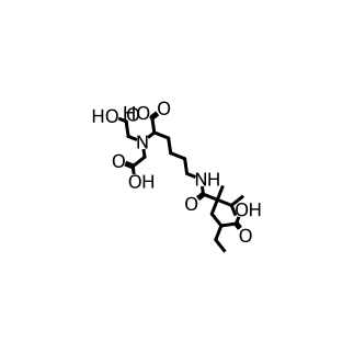 CCC(CC(C)(C(=O)NCCCCC(C(=O)O)N(CC(=O)O)CC(=O)O)C(C)C)C(=O)O